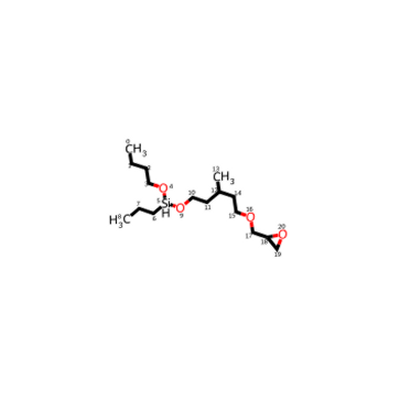 CCCCO[SiH](CCC)OCCC(C)CCOCC1CO1